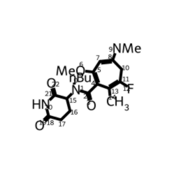 CCCCN(C(=O)C1=C(OC)C=C(NC)CC(F)=C1C)C1CCC(=O)NC1=O